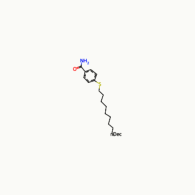 CCCCCCCCCCCCCCCCCCSc1ccc(C(N)=O)cc1